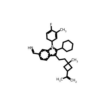 C=C(C)C1CC(C)(CCc2c(C3CCCCC3)n(C3C=C(C)C(F)=CC3)c3cc(C=N)ccc23)C1